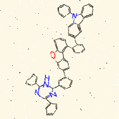 c1ccc(C2=NC(c3cccc(-c4ccc5c(c4)oc4cccc(-c6ccccc6-c6ccc7c(c6)c6ccccc6n7-c6ccccc6)c45)c3)NC(c3ccccc3)=N2)cc1